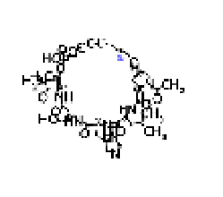 CC(=O)N1C[C@H]2C[C@H]1C(=O)N[C@@H](CC(C)C)C(=O)N[C@@H](Cc1cnc[nH]1)C(=O)N[C@@H](CO)C(=O)N[C@H](C(N)=O)[C@@H](C)OP(=O)(O)OCCCC/C=C/O2